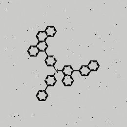 c1ccc(-c2ccc(N(c3ccc(-c4cc5c6ccccc6ccc5c5ccccc45)cc3)c3ccc(-c4ccc5ccccc5c4)c4ccccc34)cc2)cc1